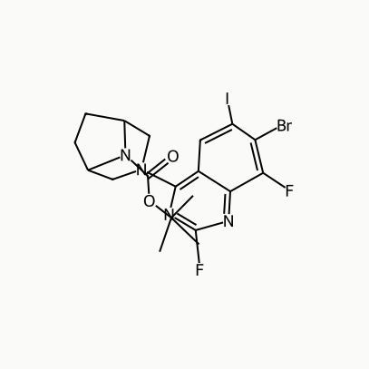 CC(C)(C)OC(=O)N1C2CCC1CN(c1nc(F)nc3c(F)c(Br)c(I)cc13)C2